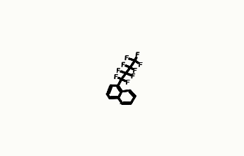 FC(F)(F)C(F)(F)C(F)(F)C(F)(F)c1cccc2[c]cccc12